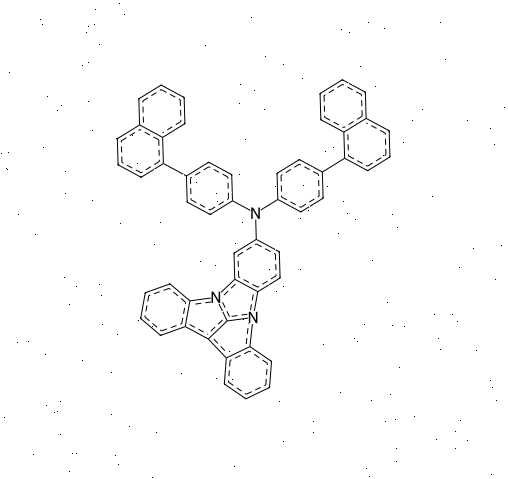 c1ccc2c(-c3ccc(N(c4ccc(-c5cccc6ccccc56)cc4)c4ccc5c(c4)n4c6ccccc6c6c7ccccc7n5c64)cc3)cccc2c1